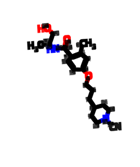 Cc1cc(OCCCC2CCN(C#N)CC2)ccc1C(=O)N[C@H](C)CO